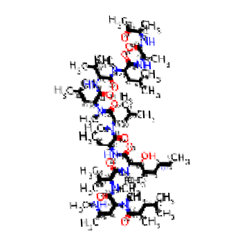 C/C=C/CC(C)[C@@H](O)[C@@H](C(=O)N[C@@H](CC)C(=O)N(C)[C@@H](CC(C)C)C(=O)N(C)[C@@H](CC(C)C)C(=O)N[C@H](C(=O)N(C)C(CC(C)C)C(=O)N[C@@H](C)C(=O)NC(C)C(C)=O)C(C)C)N(C)C(=O)C(C(C)C)N(C)C(=O)C(CC(C)NC)N(C)C(=O)[C@H](C)CC(C)C